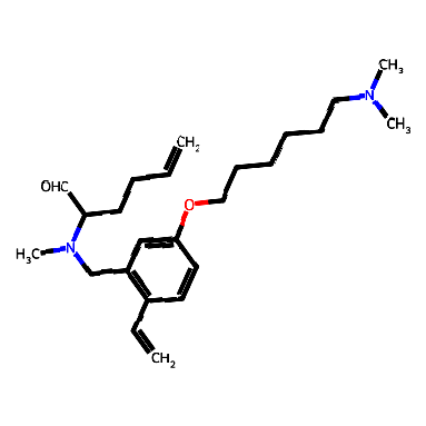 C=CCCC(C=O)N(C)Cc1cc(OCCCCCCN(C)C)ccc1C=C